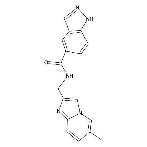 Cc1ccc2nc(CNC(=O)c3ccc4[nH]ncc4c3)cn2c1